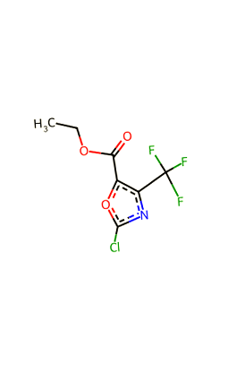 CCOC(=O)c1oc(Cl)nc1C(F)(F)F